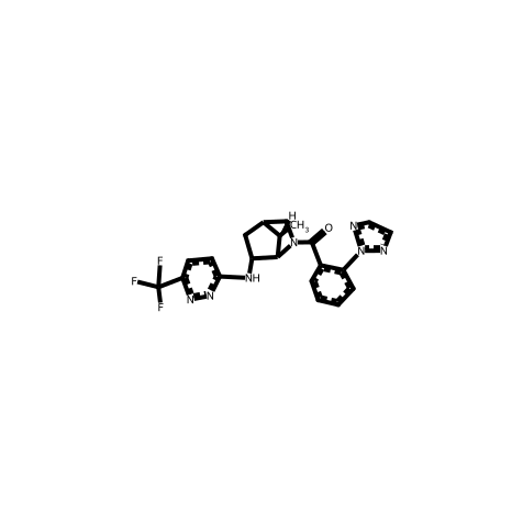 C[C@H]1C2CC(Nc3ccc(C(F)(F)F)nn3)C1N(C(=O)c1ccccc1-n1nccn1)C2